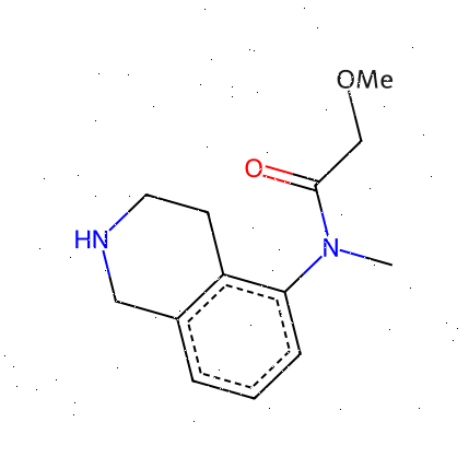 COCC(=O)N(C)c1cccc2c1CCNC2